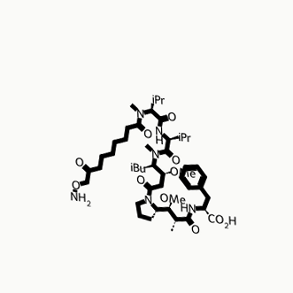 CC[C@H](C)C([C@@H](CC(=O)N1CCC[C@H]1[C@H](OC)[C@@H](C)C(=O)N[C@H](Cc1ccccc1)C(=O)O)OC)N(C)C(=O)[C@@H](NC(=O)[C@H](C(C)C)N(C)C(=O)CCCCCCC(=O)CON)C(C)C